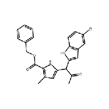 CC(=O)C(c1cc(C)c(C(=O)OCc2ccccc2)[nH]1)c1cc2cc(Cl)ccc2[nH]1